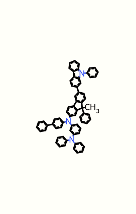 CC1(c2ccccc2)c2ccc(-c3ccc4c5ccccc5n(-c5ccccc5)c4c3)cc2-c2ccc(N(c3ccc(-c4ccccc4)cc3)c3cccc(N(c4ccccc4)c4ccccc4)c3)cc21